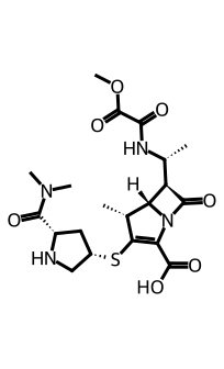 COC(=O)C(=O)N[C@H](C)[C@H]1C(=O)N2C(C(=O)O)=C(S[C@@H]3CN[C@H](C(=O)N(C)C)C3)[C@H](C)[C@H]12